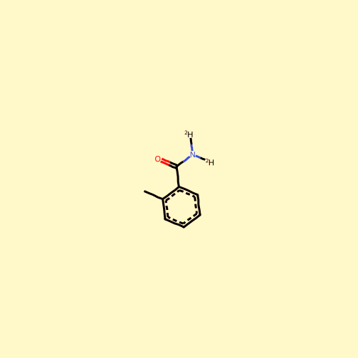 [2H]N([2H])C(=O)c1ccccc1C